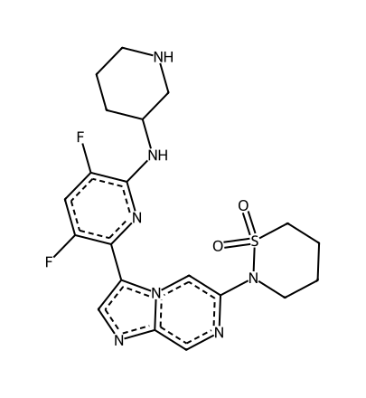 O=S1(=O)CCCCN1c1cn2c(-c3nc(NC4CCCNC4)c(F)cc3F)cnc2cn1